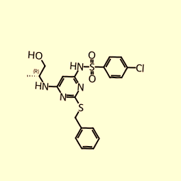 C[C@H](CO)Nc1cc(NS(=O)(=O)c2ccc(Cl)cc2)nc(SCc2ccccc2)n1